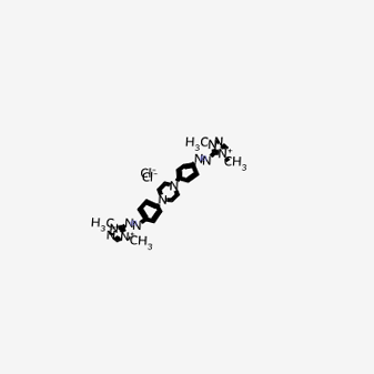 Cn1nc[n+](C)c1/N=N/c1ccc(N2CCN(c3ccc(/N=N/c4n(C)nc[n+]4C)cc3)CC2)cc1.[Cl-].[Cl-]